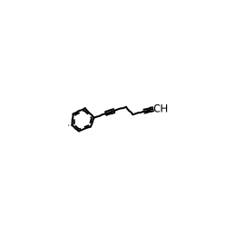 C#CCCC#Cc1cc[c]cc1